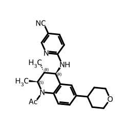 CC(=O)N1c2ccc(C3CCOCC3)cc2[C@H](Nc2ccc(C#N)cn2)[C@@H](C)[C@@H]1C